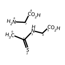 CC(=S)NCC(=O)O.NCC(=O)O